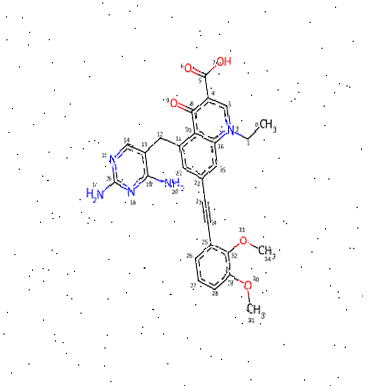 CCn1cc(C(=O)O)c(=O)c2c(Cc3cnc(N)nc3N)cc(C#Cc3cccc(OC)c3OC)cc21